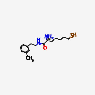 Cc1cccc(CCNC(=O)[C@@H](N)CCCCCS)c1